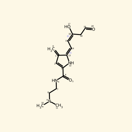 C=c1cc(C(=O)NCCN(C)C)[nH]/c1=C/C=C(/O)CC=O